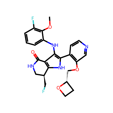 COc1c(F)cccc1Nc1c(-c2ccncc2OC[C@@H]2CCO2)[nH]c2c1C(=O)NC[C@@H]2CF